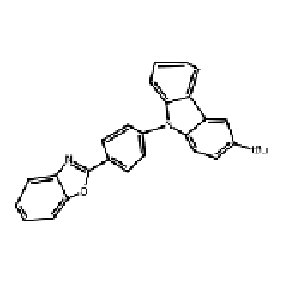 CC(C)(C)c1ccc2c(c1)c1ccccc1n2-c1ccc(-c2nc3ccccc3o2)cc1